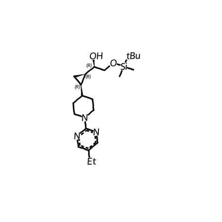 CCc1cnc(N2CCC([C@H]3C[C@H]3[C@@H](O)CO[Si](C)(C)C(C)(C)C)CC2)nc1